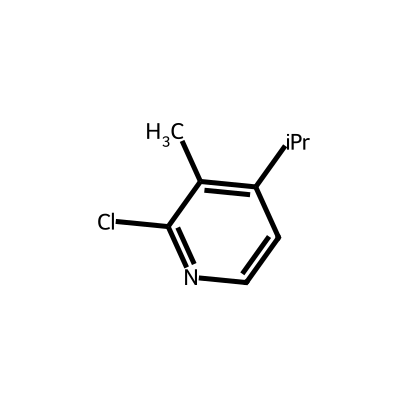 Cc1c(C(C)C)ccnc1Cl